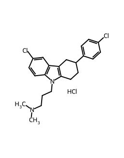 CN(C)CCCn1c2c(c3cc(Cl)ccc31)CC(c1ccc(Cl)cc1)CC2.Cl